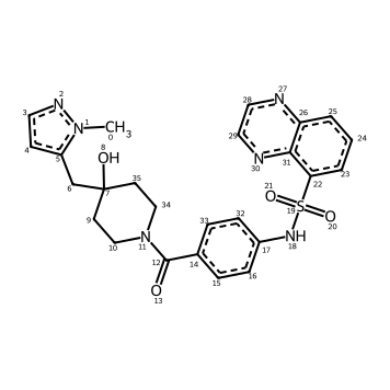 Cn1nccc1CC1(O)CCN(C(=O)c2ccc(NS(=O)(=O)c3cccc4nccnc34)cc2)CC1